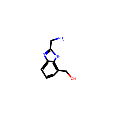 NCc1nc2cccc(CO)c2[nH]1